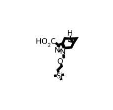 C[C@@]12Cc3c(c(C(=O)O)nn3COCC[Si](C)(C)C)C[C@@H]1C2